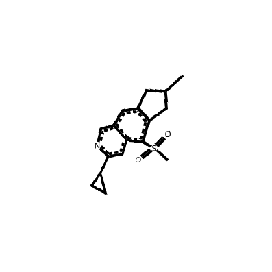 CC1Cc2cc3cnc(C4CC4)cc3c(S(C)(=O)=O)c2C1